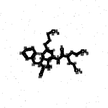 CCCSc1nc(NC(=O)C(CCC)CCC)c2[nH]c(=O)n(Cc3ccccc3)c2n1